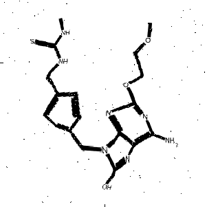 CNC(=S)NCc1ccc(Cn2c(O)nc3c(N)nc(OCCOC)nc32)cc1